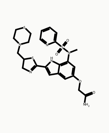 CN(c1cc(OCC(N)=O)cc2cc(C3=NCC(CN4CCSCC4)S3)[nH]c12)S(=O)(=O)c1ccccn1